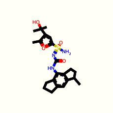 Cc1oc(S(N)(=O)=NC(=O)Nc2c3c(cc4c2CCC4C)CCC3)cc1C(C)(C)O